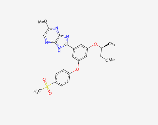 COC[C@H](C)Oc1cc(Oc2ccc(S(C)(=O)=O)cc2)cc(-c2nc3nc(OC)cnc3[nH]2)c1